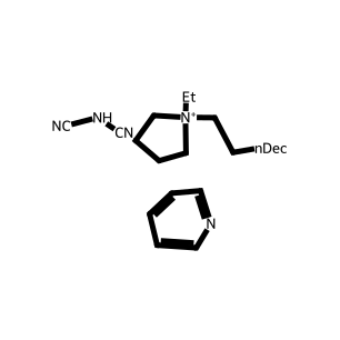 CCCCCCCCCCCC[N+]1(CC)CCCC1.N#CNC#N.c1ccncc1